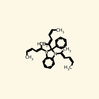 C/C=C\C=C(/C)N1c2ccccc2N(/C(C)=C/C=C\C)C1(/C(C)=C/C=C\C)c1ccccc1